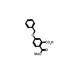 COC(=O)c1ccc(OCc2ccccc2)cc1C(=O)O